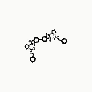 O=C(OCc1ccccc1)N1CCC[C@H]1c1nc2cc(-c3ccc4[nH]c([C@@H]5CCCN5C(=O)OCc5ccccc5)nc4c3)ccc2[nH]1